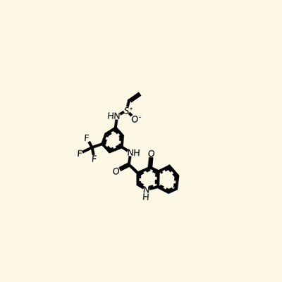 C=C[S+]([O-])Nc1cc(NC(=O)c2c[nH]c3ccccc3c2=O)cc(C(F)(F)F)c1